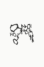 CN1CCN(c2nccc3nc(-c4ccccc4O)n(CCc4ccccc4)c(=O)c23)CC1